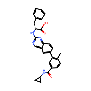 Cc1ccc(C(=O)NC2CC2)cc1-c1ccc2nc(N[C@H](Cc3ccccc3)C(=O)O)ncc2c1